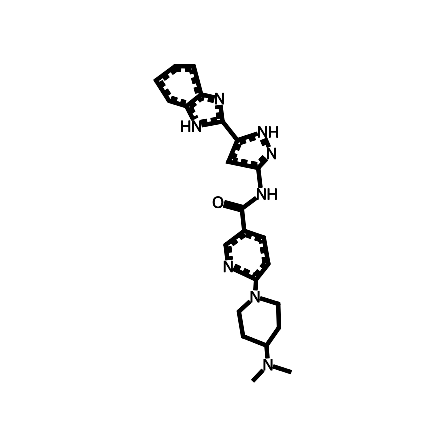 CN(C)C1CCN(c2ccc(C(=O)Nc3cc(-c4nc5ccccc5[nH]4)[nH]n3)cn2)CC1